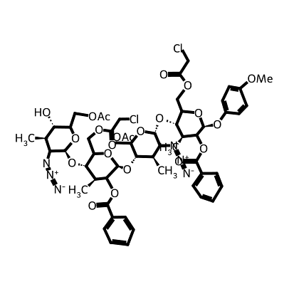 COc1ccc(O[C@@H]2OC(COC(=O)CCl)[C@@H](O[C@H]3OC(COC(C)=O)[C@@H](O[C@@H]4OC(COC(=O)CCl)[C@@H](O[C@@H]5OC(COC(C)=O)[C@@H](O)[C@H](C)C5N=[N+]=[N-])[C@H](C)C4OC(=O)c4ccccc4)[C@H](C)C3N=[N+]=[N-])[C@H](C)C2OC(=O)c2ccccc2)cc1